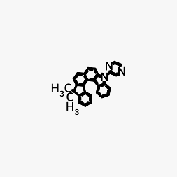 CC1(C)c2ccccc2-c2c1ccc1ccc3c(c4ccccc4n3-c3cnccn3)c21